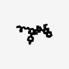 CCC(=O)CCCCCC(NC(=O)C1CCN(C)CC1)c1ncc(-c2cc3ccccc3nc2OC)o1